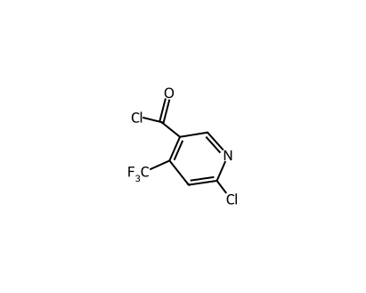 O=C(Cl)c1cnc(Cl)cc1C(F)(F)F